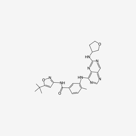 Cc1ccc(C(=O)Nc2cc(C(C)(C)C)on2)cc1Nc1ncnc2cnc(NC3CCOC3)nc12